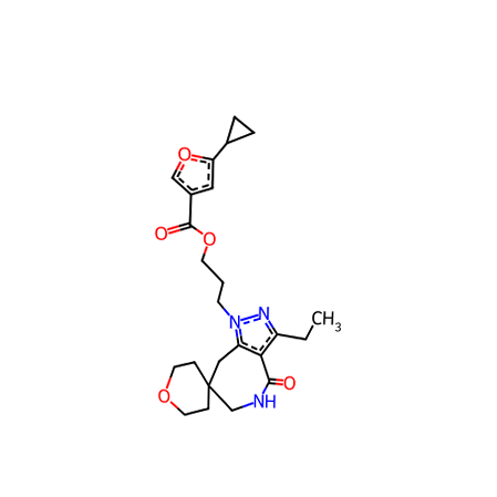 CCc1nn(CCCOC(=O)c2coc(C3CC3)c2)c2c1C(=O)NCC1(CCOCC1)C2